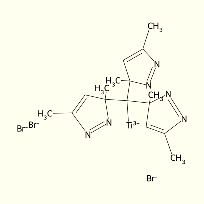 CC1=CC(C)([C]([Ti+3])(C2(C)C=C(C)N=N2)C2(C)C=C(C)N=N2)N=N1.[Br-].[Br-].[Br-]